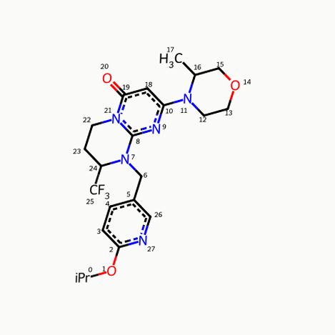 CC(C)Oc1ccc(CN2c3nc(N4CCOCC4C)cc(=O)n3CCC2C(F)(F)F)cn1